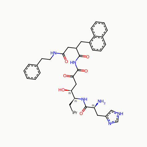 CC(C)C[C@H](NC(=O)[C@@H](N)Cc1c[nH]cn1)[C@@H](O)CC(=O)C(=O)NC(=O)C(CC(=O)NCCc1ccccc1)Cc1cccc2ccccc12